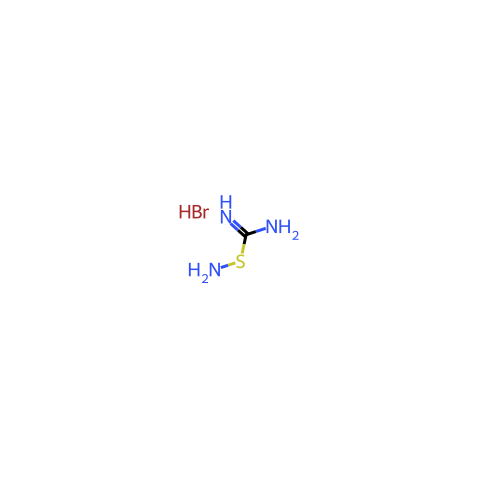 Br.N=C(N)SN